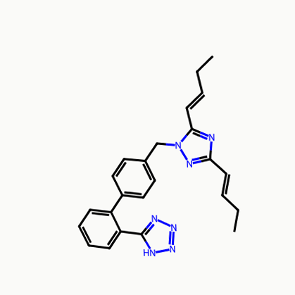 CCC=Cc1nc(C=CCC)n(Cc2ccc(-c3ccccc3-c3nnn[nH]3)cc2)n1